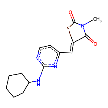 CN1C(=O)S/C(=C\c2ccnc(NC3CCCCC3)n2)C1=O